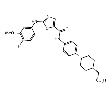 COc1cc(Nc2nnc(C(=O)Nc3ccc([C@H]4CC[C@H](CC(=O)O)CC4)cc3)o2)ccc1F